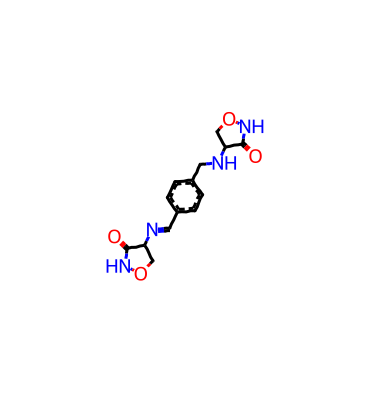 O=C1NOCC1/N=C/c1ccc(CNC2CONC2=O)cc1